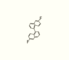 Fc1ccc2c(-c3cccc4cc(F)ccc34)cccc2c1